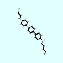 CCCCCOc1ccc(-c2ccc([C@H]3CC[C@H](CC=CF)CC3)cc2)cc1